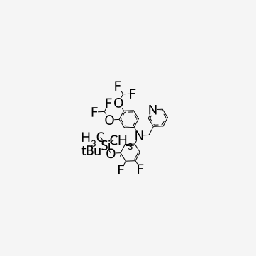 CC(C)(C)[Si](C)(C)O[C]1C=C(N(Cc2cccnc2)c2ccc(OC(F)F)c(OC(F)F)c2)C=C(F)C1F